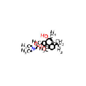 C=C(C)C1CCC(=C)[C@H]2C3=C(C[C@](C)(OC(=O)CN(CC)CC)C3=O)C(O)C(C)=C[C@H]12